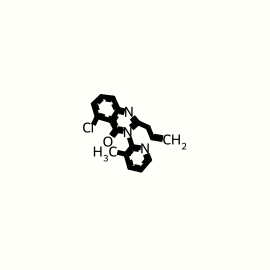 C=CCc1nc2cccc(Cl)c2c(=O)n1-c1ncccc1C